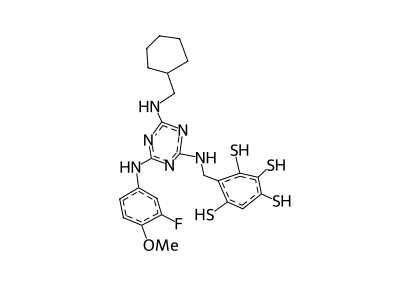 COc1ccc(Nc2nc(NCc3c(S)cc(S)c(S)c3S)nc(NCC3CCCCC3)n2)cc1F